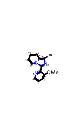 COc1cccnc1-c1nc(I)c2ccccn12